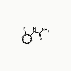 NC(=S)Nc1ccccc1F